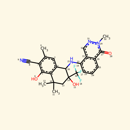 Cc1cc2c(c(O)c1C#N)C(C)(C)CC(O)(C(F)(F)F)C2Nc1cccc2c(=O)n(C)ncc12